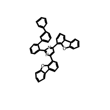 c1ccc(-c2cccc(-c3ccccc3-c3nc(-c4cccc5c4oc4ccccc45)cc(-c4cccc5c4oc4ccccc45)n3)c2)cc1